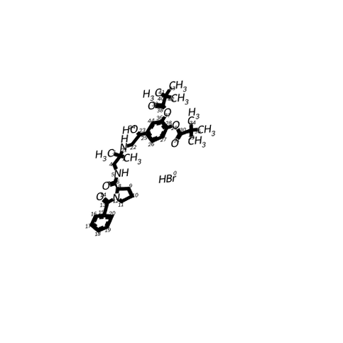 Br.CC(C)(CNC(=O)[C@H]1CCCN1C(=O)c1ccccc1)NCC(O)c1ccc(OC(=O)C(C)(C)C)c(OC(=O)C(C)(C)C)c1